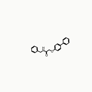 O=C(COc1ccc(-c2ccccc2)cc1)NCc1ccccc1